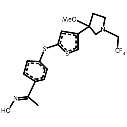 COC1(c2csc(Sc3ccc(/C(C)=N/O)cc3)c2)CCN(CC(F)(F)F)C1